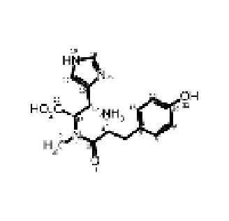 CN(C(=O)[C@H](N)Cc1ccc(O)cc1)[C@H](Cc1c[nH]cn1)C(=O)O